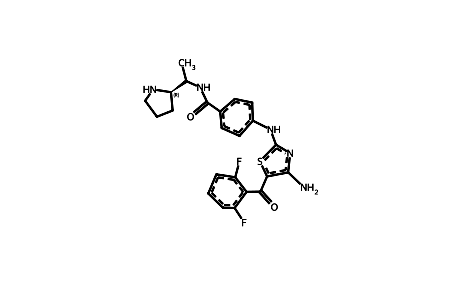 CC(NC(=O)c1ccc(Nc2nc(N)c(C(=O)c3c(F)cccc3F)s2)cc1)[C@H]1CCCN1